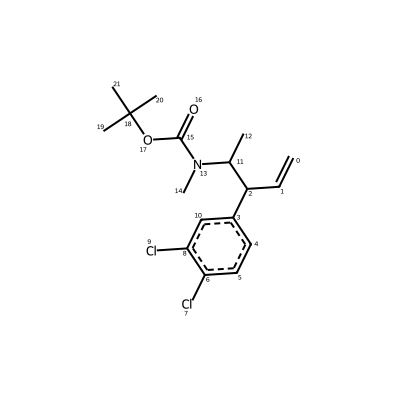 C=CC(c1ccc(Cl)c(Cl)c1)C(C)N(C)C(=O)OC(C)(C)C